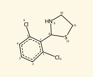 Clc1cccc(Cl)c1C1NCCS1